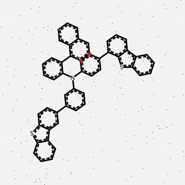 c1cc(-c2ccc3sc4ccccc4c3c2)cc(N(c2ccc(-c3cccc4c3sc3ccccc34)cc2)c2ccccc2-c2cccc3ccccc23)c1